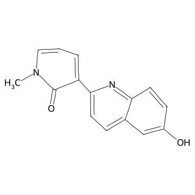 Cn1cccc(-c2ccc3cc(O)ccc3n2)c1=O